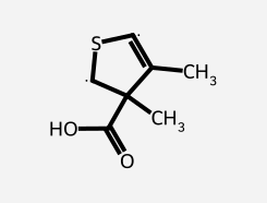 CC1=[C]S[CH]C1(C)C(=O)O